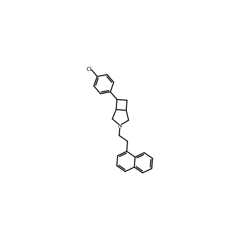 Clc1ccc(C2CC3CN(CCc4cccc5ccccc45)CC32)cc1